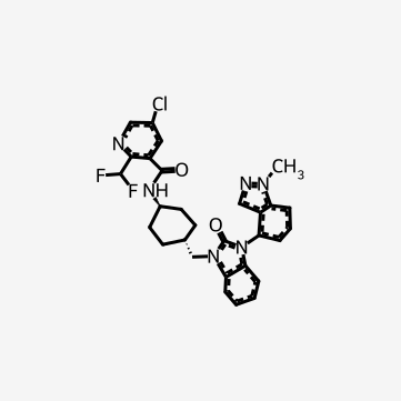 Cn1ncc2c(-n3c(=O)n(C[C@H]4CC[C@H](NC(=O)c5cc(Cl)cnc5C(F)F)CC4)c4ccccc43)cccc21